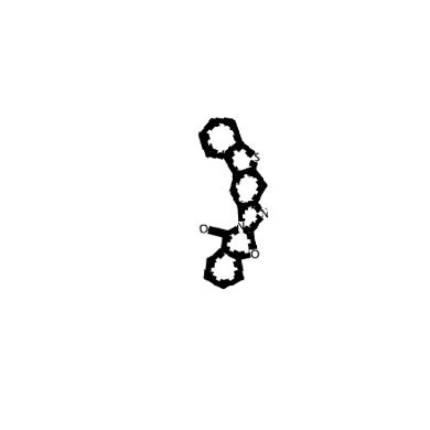 O=c1c2ccccc2oc2nc3cc4sc5ccccc5c4cc3n12